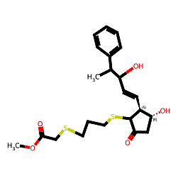 COC(=O)CSCCCSC1C(=O)C[C@@H](O)[C@@H]1C=CC(O)C(C)c1ccccc1